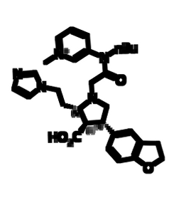 CCCCN(C(=O)CN1C[C@H](c2ccc3c(c2)CCO3)[C@@H](C(=O)O)[C@@H]1CCn1ccnc1)c1ccc[n+](C)c1